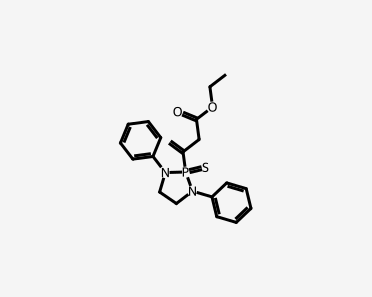 C=C(CC(=O)OCC)P1(=S)N(c2ccccc2)CCN1c1ccccc1